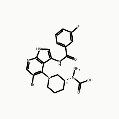 NN(C(=O)O)[C@@H]1CCCN(c2c(Br)cnc3[nH]cc(NC(=O)c4cccc(F)c4)c23)C1